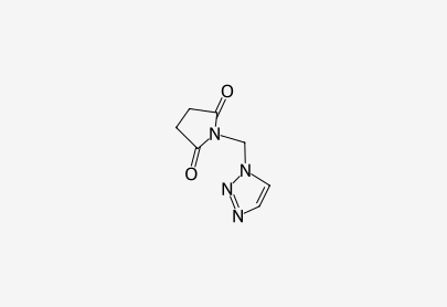 O=C1CCC(=O)N1Cn1ccnn1